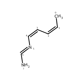 C\C=C/C=C\N=C\N